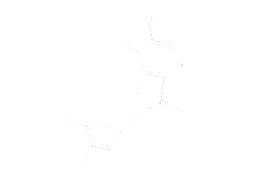 Cc1cc(/C=C2\Oc3c(ccc(O)c3O)C2=O)oc1C